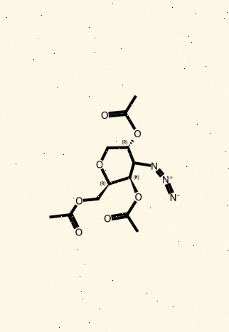 CC(=O)OC[C@H]1OC[C@H](OC(C)=O)C(N=[N+]=[N-])[C@H]1OC(C)=O